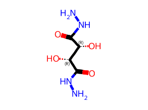 NNC(=O)[C@H](O)[C@@H](O)C(=O)NN